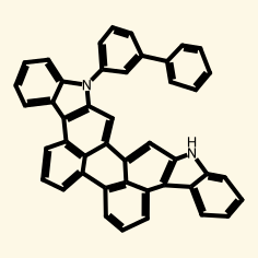 c1ccc(-c2cccc(-n3c4ccccc4c4c5cccc6c7cccc8c9c(cc(c(cc43)c65)c78)[nH]c3ccccc39)c2)cc1